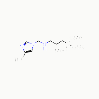 CO[Si](CCCNCn1cnc(C)c1)(OC)OC